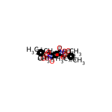 Cc1cc(C)c(S(=O)(=O)ON2C(=O)C3C4C=CC(C3C2=O)C2C(=O)N(OS(=O)(=O)c3c(C)cc(C)cc3C)C(=O)C42)c(C)c1